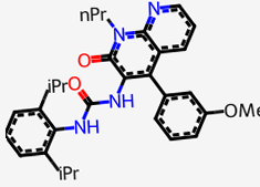 CCCn1c(=O)c(NC(=O)Nc2c(C(C)C)cccc2C(C)C)c(-c2cccc(OC)c2)c2cccnc21